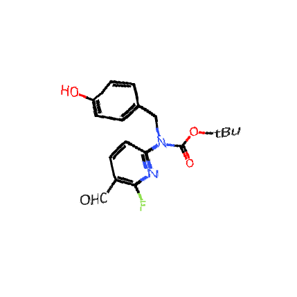 CC(C)(C)OC(=O)N(Cc1ccc(O)cc1)c1ccc(C=O)c(F)n1